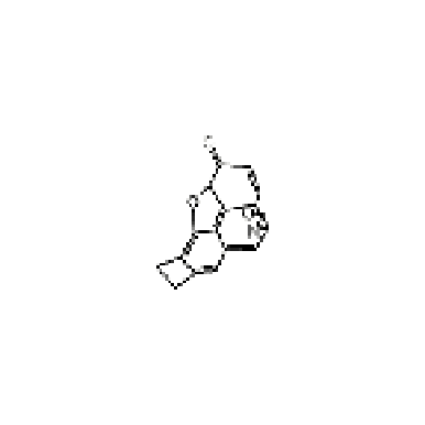 O=C1C=CC23OCN=C2C=c2cc4c(c5c2=C3C1O5)CC4